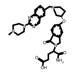 CN1CCN(c2ncc3cc(CN4CC[C@H](Oc5ccc6c(c5)CN(C(CCC(=O)O)C(N)=O)C6=O)C4)ccc3n2)CC1